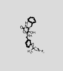 CC(C)Oc1cccc(CNC[C@H](O)[C@H](Cc2ccccc2)NC(=O)O)c1